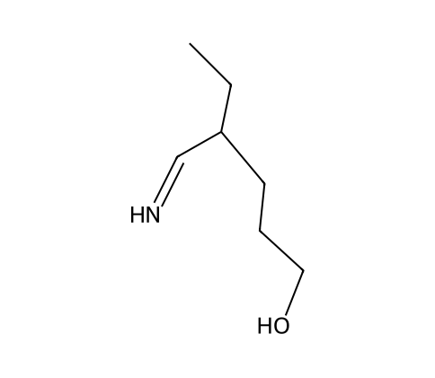 CCC(C=N)CCCO